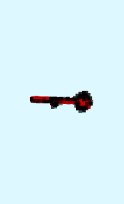 CCCCCCCCCCCCCC[NH+](CCCCCCCCCCCCCC)CC(F)(F)F.Fc1c(F)c(F)c([B-](c2c(F)c(F)c(F)c(F)c2F)(c2c(F)c(F)c(F)c(F)c2F)c2c(F)c(F)c(F)c(F)c2F)c(F)c1F